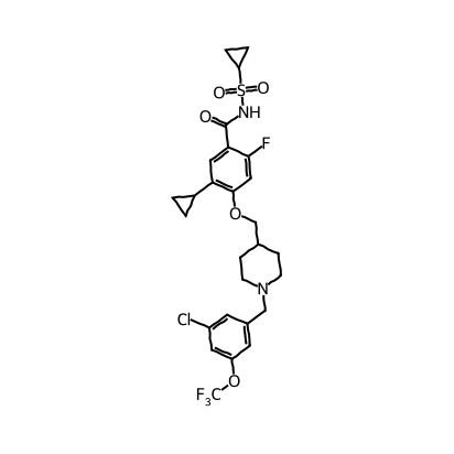 O=C(NS(=O)(=O)C1CC1)c1cc(C2CC2)c(OCC2CCN(Cc3cc(Cl)cc(OC(F)(F)F)c3)CC2)cc1F